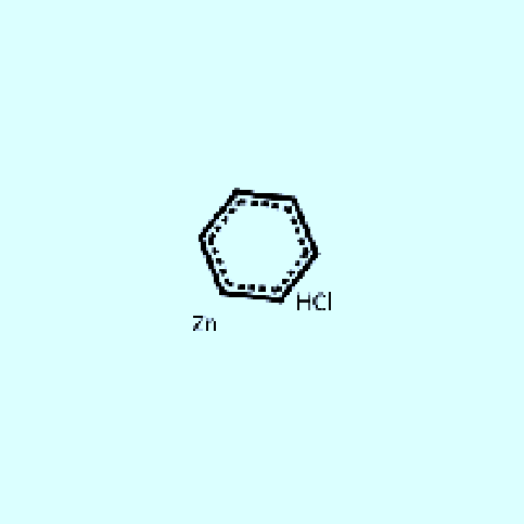 Cl.[Zn].c1ccccc1